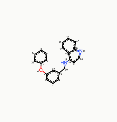 c1ccc(Oc2cccc(CNc3ccnc4ccccc34)c2)cc1